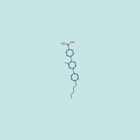 CCCCCc1ccc(-c2ccc(-c3ccc(B(O)O)cc3)c(C)c2)cc1